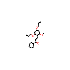 C=CCOc1cc(OC)c(C=CC(=O)c2ccccc2)c(OCC=C)c1